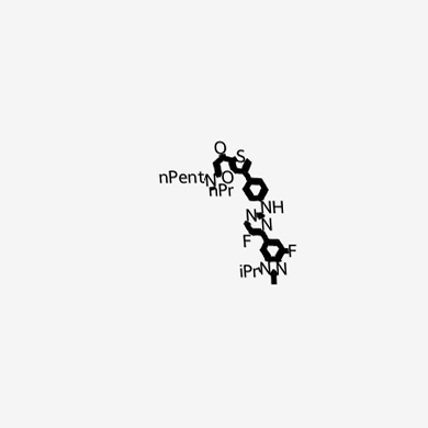 CCCCCN(CCC)c1cc(=O)c2scc(-c3ccc(Nc4ncc(F)c(-c5cc(F)c6nc(C)n(C(C)C)c6c5)n4)cc3)c2o1